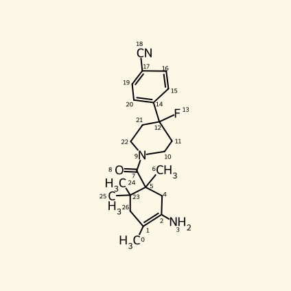 CC1=C(N)CC(C)(C(=O)N2CCC(F)(c3ccc(C#N)cc3)CC2)C(C)(C)C1